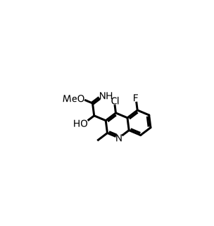 COC(=N)C(O)c1c(C)nc2cccc(F)c2c1Cl